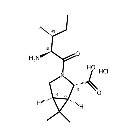 CC[C@@H](C)[C@H](N)C(=O)N1C[C@H]2[C@@H]([C@H]1C(=O)O)C2(C)C.Cl